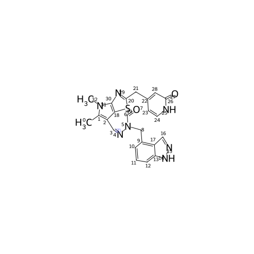 Cc1c(/C=N\N(C=O)Cc2cccc3[nH]ncc23)c2sc(Cc3cc[nH]c(=O)c3)nc2n1C